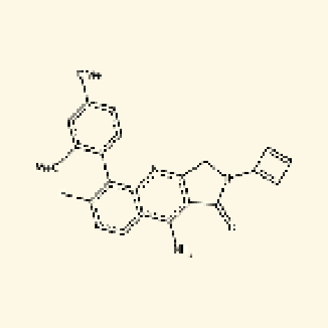 COc1ccc(-c2c(F)ccc3c(N)c4c(nc23)CN(C2=CC=C2)C4=O)c(OC)c1